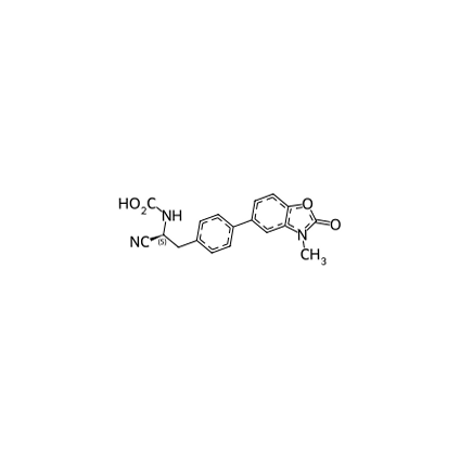 Cn1c(=O)oc2ccc(-c3ccc(C[C@@H](C#N)NC(=O)O)cc3)cc21